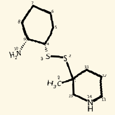 CC1(SS[C@H]2CCCC[C@H]2N)CCCNC1